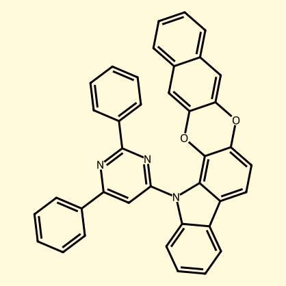 c1ccc(-c2cc(-n3c4ccccc4c4ccc5c(c43)Oc3cc4ccccc4cc3O5)nc(-c3ccccc3)n2)cc1